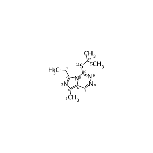 CCc1nc(C)c2cnnc(SC(C)C)n12